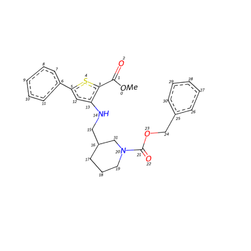 COC(=O)c1sc(-c2ccccc2)cc1NCC1CCCN(C(=O)OCc2ccccc2)C1